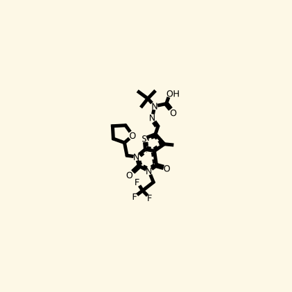 Cc1c(C=NN(C(=O)O)C(C)(C)C)sc2c1c(=O)n(CC(F)(F)F)c(=O)n2CC1CCCO1